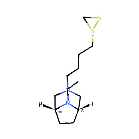 CCN1[C@@H]2CC[C@H]1CN(CCCC[SH]1CS1)C2